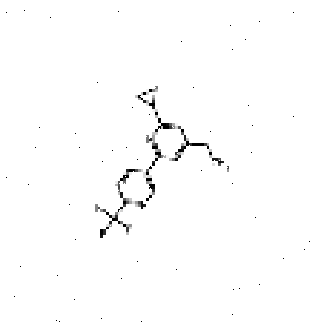 CCc1cc(-c2cnc(C(F)(F)F)nc2)nc(C2CC2)c1